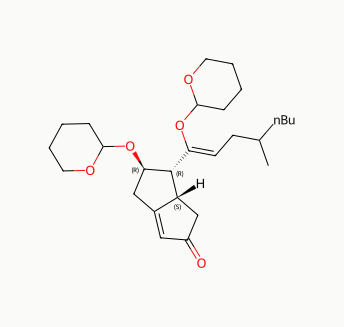 CCCCC(C)CC=C(OC1CCCCO1)[C@@H]1[C@@H]2CC(=O)C=C2C[C@H]1OC1CCCCO1